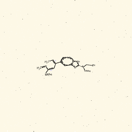 C=N/C(=C\C(=C/C)c1ccc2[nH]c([C@@H](CC(C)C)NC)nc2c1)NC